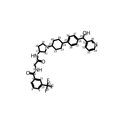 O=C(CNC(=O)c1cccc(C(F)(F)F)c1)NC1CCN(C2CCC(c3ccc(C(O)c4cccnc4)cc3)CC2)C1